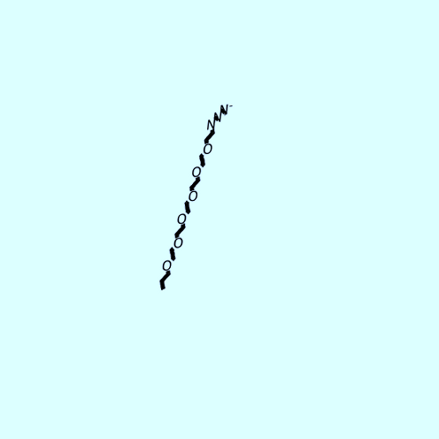 CCCOCCOCCOCCOCCOCCOCCN=[N+]=[N-]